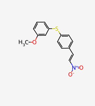 COc1cccc(Sc2ccc(C=C[N+](=O)[O-])cc2)c1